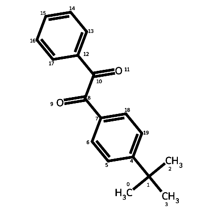 CC(C)(C)c1ccc(C(=O)C(=O)c2ccccc2)cc1